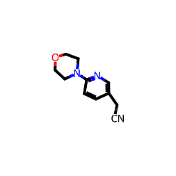 N#CCc1ccc(N2CCOCC2)nc1